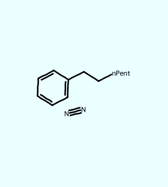 CCCCCCCc1ccccc1.N#N